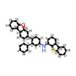 c1ccc(-c2cc(Nc3cccc4c3sc3ccccc34)ccc2-c2ccc3c(c2)oc2ccccc23)cc1